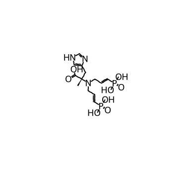 C[C@](Cc1c[nH]cn1)(C(=O)O)N(CC=CP(=O)(O)O)CC=CP(=O)(O)O